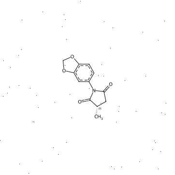 C[C@H]1CC(=O)N(c2ccc3c(c2)OCO3)C1=O